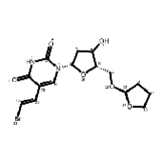 O=c1[nH]c(=O)n([C@@H]2CC(O)[C@H](COC3CCCO3)O2)cc1C=CBr